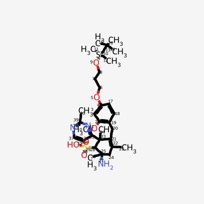 COc1cc(OCCCO[Si](C)(C)C(C)(C)C)ccc1CC1=C(C)CC(C)(N)C(S(=O)(=O)O)C1(C)c1ccnc(C)n1